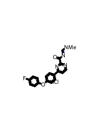 CN/C=N/C(=O)c1nccc(-c2ccc(Oc3ccc(F)cc3)cc2)n1.Cl